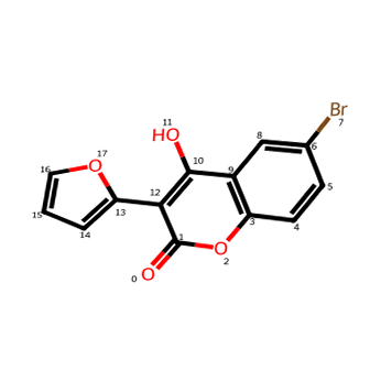 O=c1oc2ccc(Br)cc2c(O)c1-c1ccco1